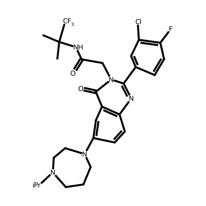 CC(C)N1CCCN(c2ccc3nc(-c4ccc(F)c(Cl)c4)n(CC(=O)NC(C)(C)C(F)(F)F)c(=O)c3c2)CC1